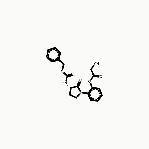 CCC(=O)Oc1ccccc1N1CC[C@H](NC(=O)OCc2ccccc2)C1=O